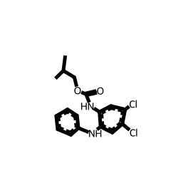 CC(C)COC(=O)Nc1cc(Cl)c(Cl)cc1Nc1ccccc1